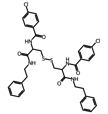 O=C(NC(CSSCC(NC(=O)c1ccc(Cl)cc1)C(=O)NCCc1ccccc1)C(=O)NCCc1ccccc1)c1ccc(Cl)cc1